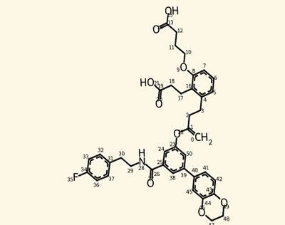 C=C(CCc1cccc(OCCCC(=O)O)c1CCC(=O)O)Oc1cc(C(=O)NCCc2ccc(F)cc2)cc(-c2ccc3c(c2)OCCO3)c1